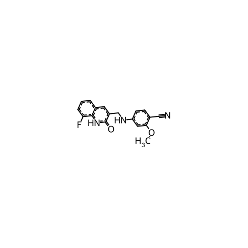 COc1cc(NCc2cc3cccc(F)c3[nH]c2=O)ccc1C#N